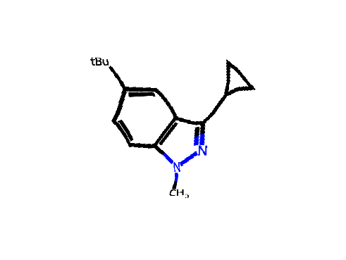 Cn1nc(C2CC2)c2cc(C(C)(C)C)ccc21